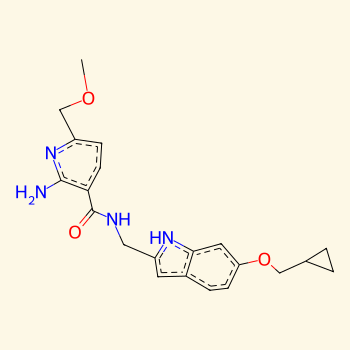 COCc1ccc(C(=O)NCc2cc3ccc(OCC4CC4)cc3[nH]2)c(N)n1